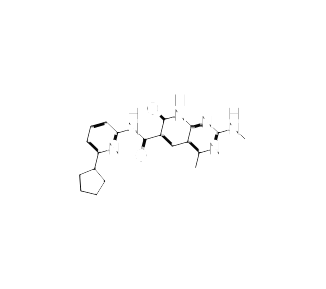 CNc1nc(C)c2cc(C(=O)Nc3cccc(C4CCCC4)n3)c(=O)[nH]c2n1